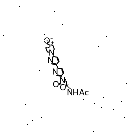 CC(=O)NC[C@H]1CN(c2ccc(-c3ccc(N4CC[S+]([O-])CC4)nc3)nc2)C(=O)O1